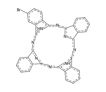 Brc1ccc2c3nc4nc(nc5[nH]c(nc6nc(nc([nH]3)c2c1)-c1ccccc1-6)c1ccccc51)-c1ccccc1-4